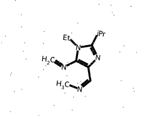 C=Nc1c(/C=N\C)nc(C(C)C)n1CC